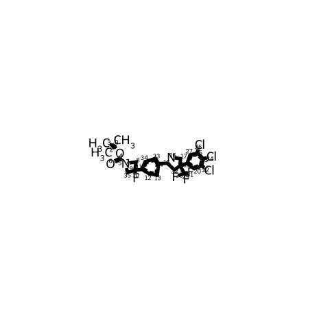 CC(C)(C)OC(=O)N1CC(F)(c2ccc(C3=NCC(c4cc(Cl)c(Cl)c(Cl)c4)(C(F)(F)F)C3)cc2)C1